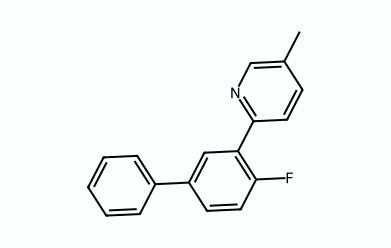 Cc1ccc(-c2cc(-c3ccccc3)ccc2F)nc1